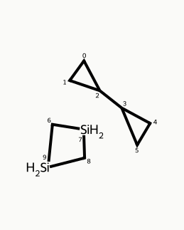 C1CC1C1CC1.C1[SiH2]C[SiH2]1